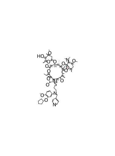 CC[C@H]1OC(=O)[C@H](C)[C@@H](O[C@H]2C[C@@](C)(OC)[C@@H](O)[C@H](C)O2)[C@H](C)[C@@H](O[C@@H]2O[C@H](C)C[C@@H](OC)[C@@H]2N(C)C)[C@](C)(OC)C[C@@H](C)C(=O)[C@H](C)[C@H]2C(SCCN(Cc3ccncc3)c3ccc(OC)c(OC4CCCC4)c3)C(=O)O[C@@]21C